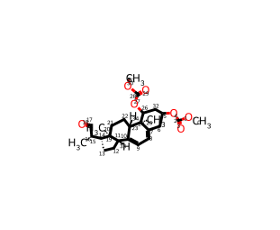 COC(=O)OC1CC2=CC=C3[C@@H]4CC[C@H]([C@H](C)C=O)[C@@]4(C)CC[C@@H]3[C@@]2(C)C(OC(=O)OC)C1